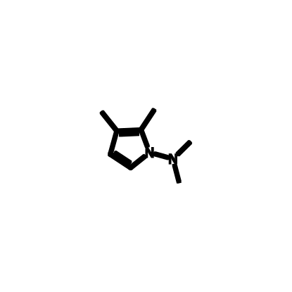 Cc1ccn(N(C)C)c1C